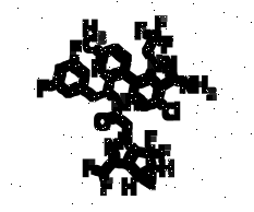 Cc1ccc(-c2ccc(Cl)c3c(N)nn(CC(F)(F)F)c23)c([C@H](Cc2cc(F)cc(F)c2)NC(=O)Cn2nc(C(F)F)c3c2C(F)(F)[C@@H]2C[C@H]32)n1